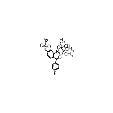 CC1(C)OB(c2cc(CS(=O)(=O)C3CC3)ccc2C(=O)c2ccc(F)cc2)OC1(C)C